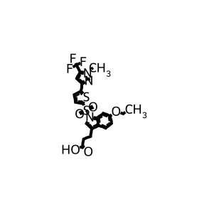 CCOc1ccc2c(CCC(=O)O)cn(S(=O)(=O)c3ccc(-c4cc(C(F)(F)F)n(C)n4)s3)c2c1